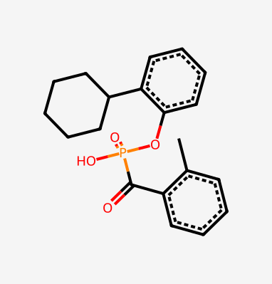 Cc1ccccc1C(=O)P(=O)(O)Oc1ccccc1C1CCCCC1